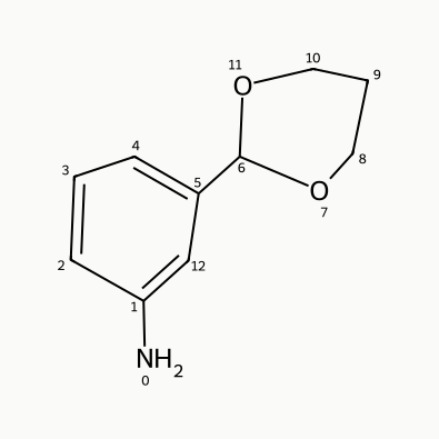 Nc1cccc(C2OCCCO2)c1